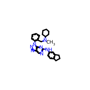 CN(Cc1ccccc1-n1nnc2cnc(Nc3ccc4c(c3)CCC4)nc21)C1CCCCC1